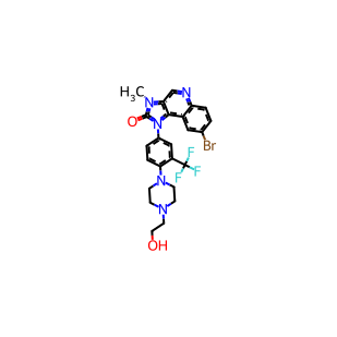 Cn1c(=O)n(-c2ccc(N3CCN(CCO)CC3)c(C(F)(F)F)c2)c2c3cc(Br)ccc3ncc21